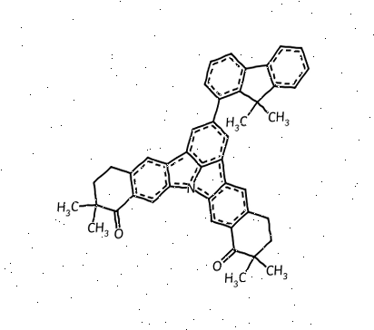 CC1(C)CCc2cc3c4cc(-c5cccc6c5C(C)(C)c5ccccc5-6)cc5c6cc7c(cc6n(c3cc2C1=O)c45)C(=O)C(C)(C)CC7